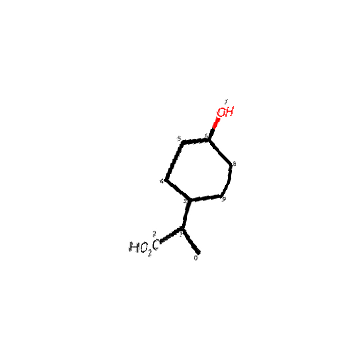 CC(C(=O)O)C1CCC(O)CC1